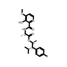 COc1ccnc(C(=O)N[C@@H](C)C(=O)O[C@@H](C)[C@H](c2ccc(F)cc2)C(C)C)c1O